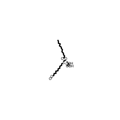 CCCCCCCCCCCCC(=O)O[C@H](COP(=O)(O)O)CSCCCCCCCCCCOC=O